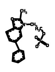 COS(=O)(=O)[O-].Cc1oc2ccc(-c3ccccc3)cc2[n+]1C